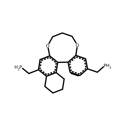 PCc1cc2c(c3c1CCCC3)-c1c(cc(CP)c3c1CCCC3)OCCCO2